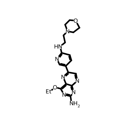 CCOc1nc(N)nc2ncc(-c3ccc(NCCN4CCOCC4)nc3)nc12